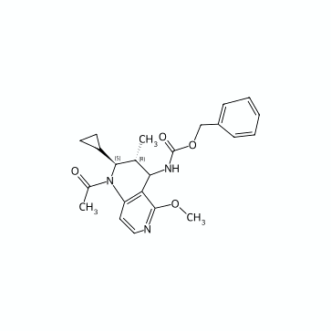 COc1nccc2c1C(NC(=O)OCc1ccccc1)[C@@H](C)[C@H](C1CC1)N2C(C)=O